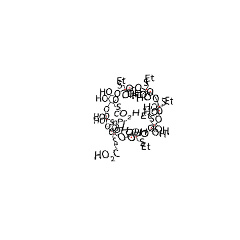 CCCSCC1OC2OC3C(CSCCC(=O)O)OC(OC4C(CSCC)OC(OC5C(CSCC)OC(OC6C(CSCC)OC(OC7C(CSCC)OC(OC8C(CSCC)OC(OC9C(CSCCC(=O)O)OC(OC1C(O)C2O)C(O)C9O)C(O)C8O)C(O)C7O)C(O)C6O)C(O)C5O)C(O)C4O)C(O)C3O